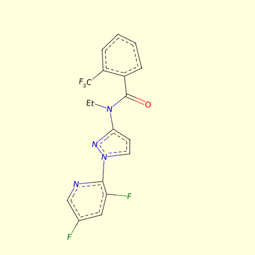 CCN(C(=O)c1ccccc1C(F)(F)F)c1ccn(-c2ncc(F)cc2F)n1